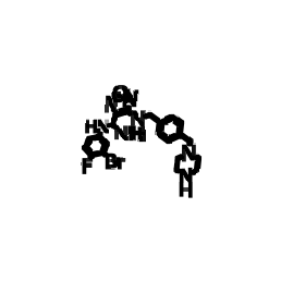 N=C(Nc1ccc(F)c(Br)c1)c1nonc1NCc1ccc(CN2CCNCC2)cc1